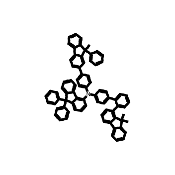 CC1(C)c2ccccc2-c2cccc(-c3ccccc3-c3ccc(N(c4ccc(-c5ccc6c(c5)C(C)(c5ccccc5)c5ccccc5-6)cc4)c4cccc5c4-c4ccccc4C5(c4ccccc4)c4ccccc4)cc3)c21